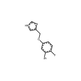 CC(C)c1cc(OCc2c[nH]cn2)ccc1F